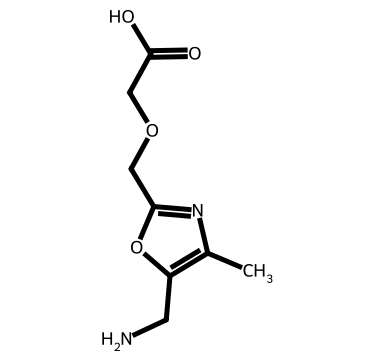 Cc1nc(COCC(=O)O)oc1CN